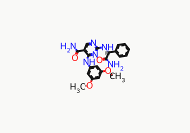 COc1cc(Nc2nc(N[C@@H](C(N)=O)c3ccccc3)ncc2C(N)=O)cc(OC)c1